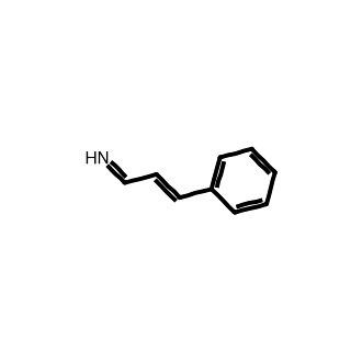 N=CC=Cc1ccccc1